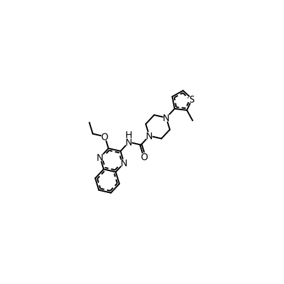 CCOc1nc2ccccc2nc1NC(=O)N1CCN(c2ccsc2C)CC1